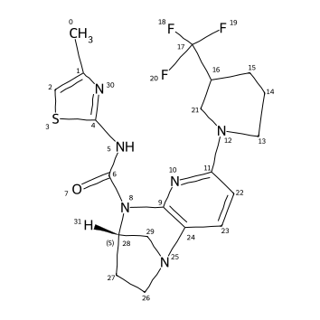 Cc1csc(NC(=O)N2c3nc(N4CCCC(C(F)(F)F)C4)ccc3N3CC[C@H]2C3)n1